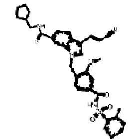 COc1cc(C(=O)NS(=O)(=O)c2ccccc2C)ccc1Cn1cc(C=CC#N)c2ccc(C(=O)NCC3CCCC3)cc21